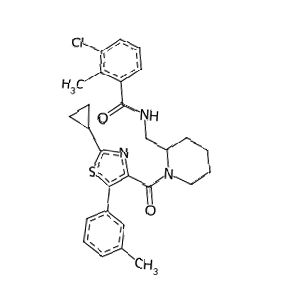 Cc1cccc(-c2sc(C3CC3)nc2C(=O)N2CCCCC2CNC(=O)c2cccc(Cl)c2C)c1